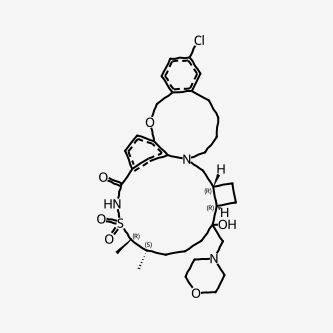 C[C@@H]1[C@@H](C)CCCC(O)(CN2CCOCC2)[C@@H]2CC[C@H]2CN2CCCCc3cc(Cl)ccc3COc3ccc(cc32)C(=O)NS1(=O)=O